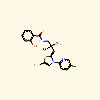 CC1=CN(c2ccc(Cl)cn2)C(=CC(C)(C)CNC(=O)c2ccccc2O)S1